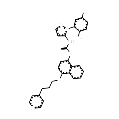 Cc1ccc(C(C)(C)C)cc1-n1nccc1NC(=O)Nc1ccc(OCCCc2ccncc2)c2ccccc12